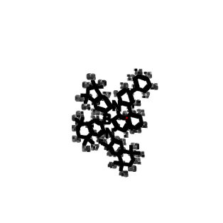 Cc1cc2c3c(c1)N(c1ccc(-c4ccccc4)cc1-c1ccccc1)c1cc4c(cc1B3c1cc3c(cc1N2c1cc2c(cc1C)C(C)(C)CCC2(C)C)C(C)(C)CCC3(C)C)C(C)(C)CC4(C)C